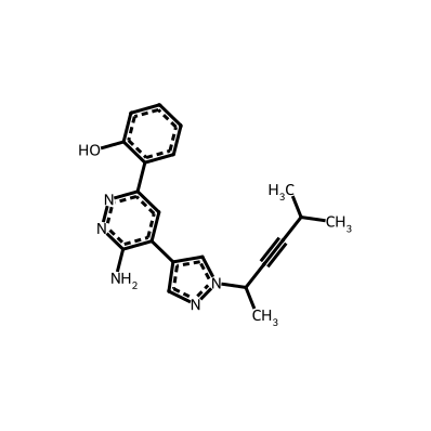 CC(C)C#CC(C)n1cc(-c2cc(-c3ccccc3O)nnc2N)cn1